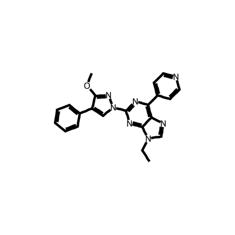 CCn1cnc2c(-c3ccncc3)nc(-n3cc(-c4ccccc4)c(OC)n3)nc21